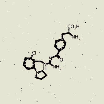 N/C(=N\C(=O)c1ccc(C[C@H](N)C(=O)O)cc1)NCc1c(Cl)cccc1N1CCCC1